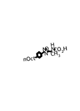 CCCCCCCCc1ccc(-c2noc(C(C)NC(=O)O)n2)cc1